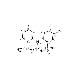 CC(NC1=NS(=O)(=O)c2cc(F)c(F)cc2N1)c1ccncc1